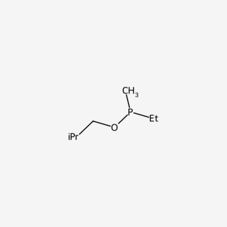 CCP(C)OCC(C)C